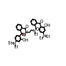 CCN(CCN(CC)C(=O)c1ccccc1C(=O)c1ccc(N(CC)CC)cc1O)C(=O)c1ccccc1C(=O)c1ccc(N(CC)CC)cc1O